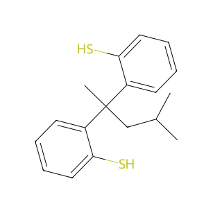 CC(C)CC(C)(c1ccccc1S)c1ccccc1S